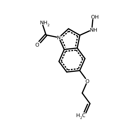 C=CCOc1ccc2c(c1)c(NO)cn2C(N)=O